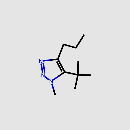 CCCc1nnn(C)c1C(C)(C)C